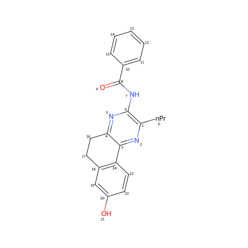 CCCc1nc2c(nc1NC(=O)c1ccccc1)CCc1cc(O)ccc1-2